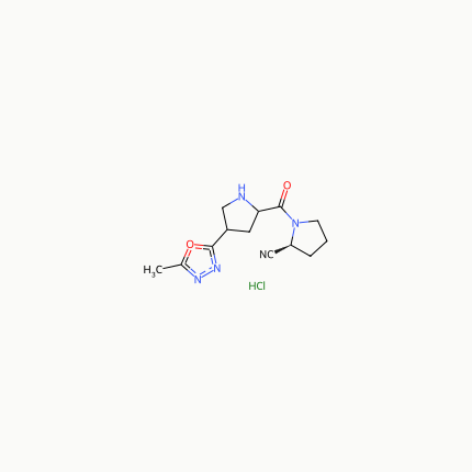 Cc1nnc(C2CNC(C(=O)N3CCC[C@H]3C#N)C2)o1.Cl